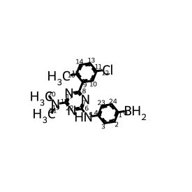 Bc1ccc(Nc2nc(-c3cc(Cl)ccc3C)nc(N(C)C)n2)cc1